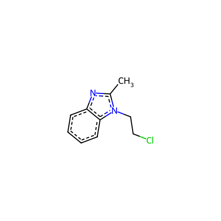 Cc1nc2ccccc2n1CCCl